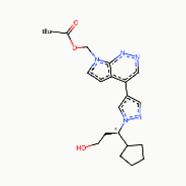 CC(C)(C)C(=O)OCn1ccc2c(-c3cnn([C@H](CCO)C4CCCC4)c3)cnnc21